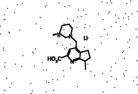 CC1CCc2c(CN3CCC[C@H](C)C3)cc(C(=O)O)nc21.[Li]